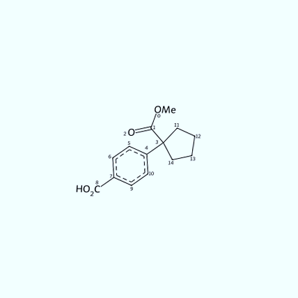 COC(=O)C1(c2ccc(C(=O)O)cc2)CCCC1